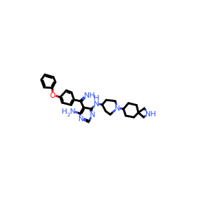 N=C(c1ccc(Oc2ccccc2)cc1)c1c(N)ncnc1NC1CCN(C2CCC3(CC2)CNC3)CC1